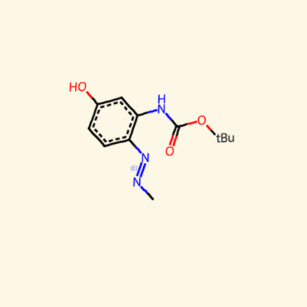 C/N=N/c1ccc(O)cc1NC(=O)OC(C)(C)C